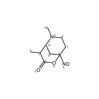 CC1C(=O)OC2(N=O)CCN(C)C1C2